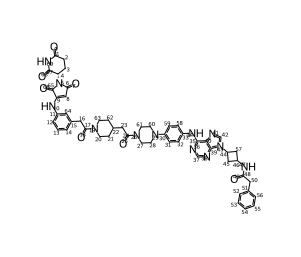 O=C1CC[C@H](N2C(=O)C=C(Nc3cccc(CC(=O)N4CCC(CC(=O)N5CCN(c6ccc(Nc7ncnc8c7ncn8C7CC(NC(=O)Cc8ccccc8)C7)cc6)CC5)CC4)c3)C2=O)C(=O)N1